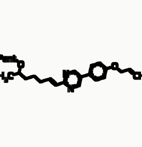 C=CCOc1ccc(-c2cnc(C=CCCCC(C)OCCCCC)nc2)cc1